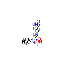 CC(C)(C)N1CC(N(C(=O)O)C2CN(c3cc(F)c(C4CCC(=O)NC4=O)c(F)c3)C2I)C1I